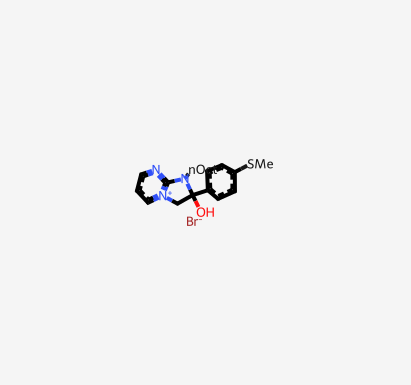 CCCCCCCCN1c2nccc[n+]2CC1(O)c1ccc(SC)cc1.[Br-]